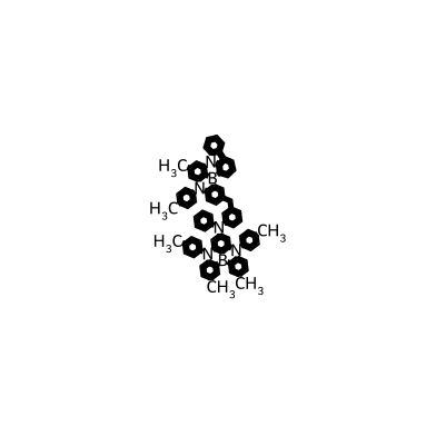 Cc1ccc(N2c3ccc(C)cc3B3c4cc(C)ccc4N(c4ccc(C)cc4)c4cc(N(c5ccccc5)c5cccc(Cc6ccc7c(c6)B6c8c(cc(C)cc8-n8c9ccccc9c9cccc6c98)N7c6ccc(C)cc6)c5)cc2c43)cc1